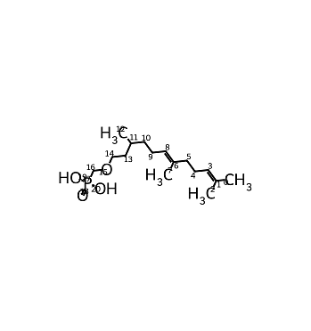 CC(C)=CCC/C(C)=C/CCC(C)CCOCP(=O)(O)O